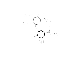 COC(=O)c1cc(O)c(O)c(OC2O[C@H](COC(C)=O)[C@@H](OC(C)=O)[C@H](OC(C)=O)[C@H]2OC(C)=O)c1